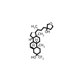 C[C@H](CCC1(O)CCOC1)[C@H]1CC[C@H]2[C@@H]3CC=C4C[C@](O)(C(F)(F)F)CC[C@]4(C)[C@H]3CC[C@]12C